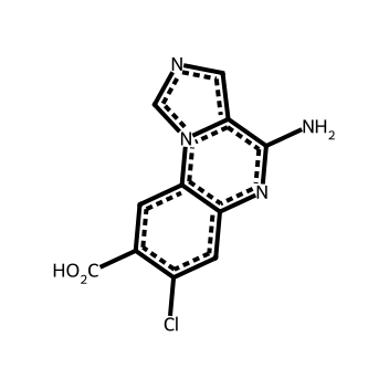 Nc1nc2cc(Cl)c(C(=O)O)cc2n2cncc12